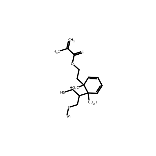 C=C(C)C(=O)OCCC1(C(=O)O)C=CC=CC1(C(=O)O)C(CS)CSCCC